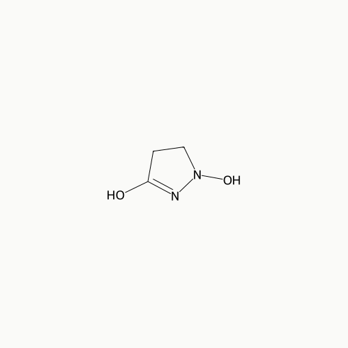 OC1=NN(O)CC1